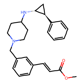 COC(=O)/C=C/c1cccc(CN2CCC(N[C@@H]3C[C@H]3c3ccccc3)CC2)c1